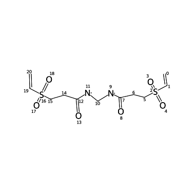 C=CS(=O)(=O)CCC(=O)[N]C[N]C(=O)CCS(=O)(=O)C=C